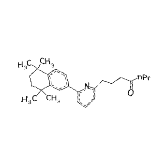 CCCC(=O)CCCc1cccc(-c2ccc3c(c2)C(C)(C)CCC3(C)C)n1